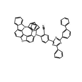 N#Cc1cc(-c2nc(-c3ccccc3)nc(-c3cccc(-c4ccccc4)c3)n2)ccc1-n1c2ccccc2c2c3c(ccc21)oc1ccc2c4ccccc4n(-c4ccccc4)c2c13